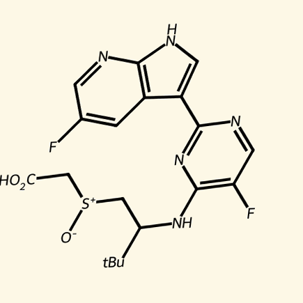 CC(C)(C)C(C[S+]([O-])CC(=O)O)Nc1nc(-c2c[nH]c3ncc(F)cc23)ncc1F